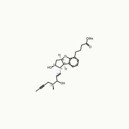 CC#CC[C@H](C)C(O)/C=C/[C@H]1[C@@H]2c3cccc(CCCC(=O)OC)c3O[C@@H]2C[C@@H]1O